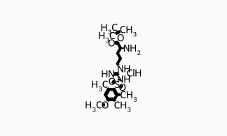 COc1cc(C)c(S(=O)(=O)NC(=N)NCCC[C@H](N)C(=O)OC(C)(C)C)c(C)c1C.Cl